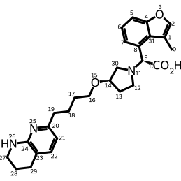 Cc1coc2cccc([C@@H](C(=O)O)N3CC[C@@H](OCCCCc4ccc5c(n4)NCCC5)C3)c12